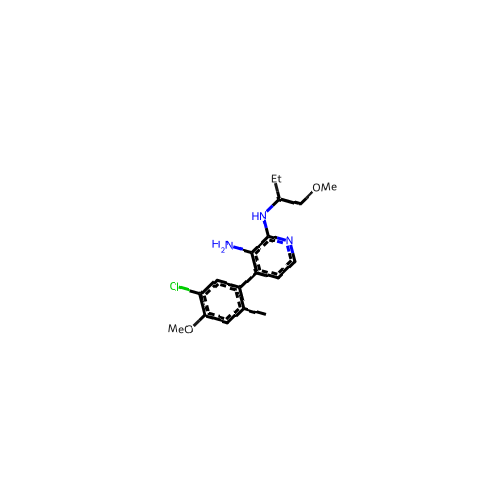 CCC(COC)Nc1nccc(-c2cc(Cl)c(OC)cc2C)c1N